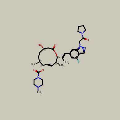 C/C(=C\c1cc(F)c2cnn(CC(=O)N3CCCC3)c2c1)[C@H]1OC(=O)C[C@H](O)CC[C@H](C)[C@@H](OC(=O)N2CCN(C)CC2)/C=C/[C@@H]1C